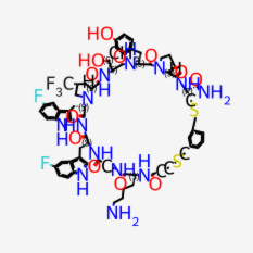 C[C@H](O)[C@@H]1NC(=O)[C@@H]2CC(C(F)(F)F)CN2[C@@H](Cc2c[nH]c3ccc(F)cc23)C(=O)NC(=O)[C@H](Cc2c[nH]c3ccc(F)cc23)NC(=O)CNC(=O)[C@H](CCCCN)NC(=O)CCSCc2cccc(c2)CSC[C@@H](C(N)=O)NC(=O)[C@@H]2CCCN2C(=O)[C@H](Cc2ccc(O)cc2)NC1=O